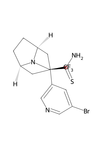 NC(=S)[C@@]1(c2cncc(Br)c2)C[C@H]2CC[C@@H](C1)N2CC(F)(F)F